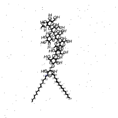 CCCCCCCCCCCCC/C=C/[C@@H](O)[C@H](CO[C@@H]1OC(CO)[C@@H](O[C@@H]2OC(CO)[C@H](O[C@@H]3OC(CO)[C@H](O)[C@H](O[C@@H]4OC(CO)[C@H](O)[C@H](O[C@H]5OC(CO)[C@H](O)[C@H](O[C@@H]6OC(CO)[C@H](O)[C@H](O)C6NC(C)=O)C5O)C4O[C@H]4OC(C)[C@@H](O)C(O)[C@@H]4O)C3NC(C)=O)[C@H](O)C2O)[C@H](O)C1O)NC(=O)CCCCCCCCCCCCCCC